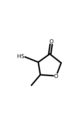 CC1OCC(=O)C1S